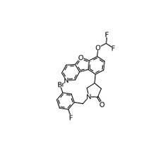 O=C1CC(c2ccc(OC(F)F)c3oc4ccncc4c23)CN1Cc1cc(Br)ccc1F